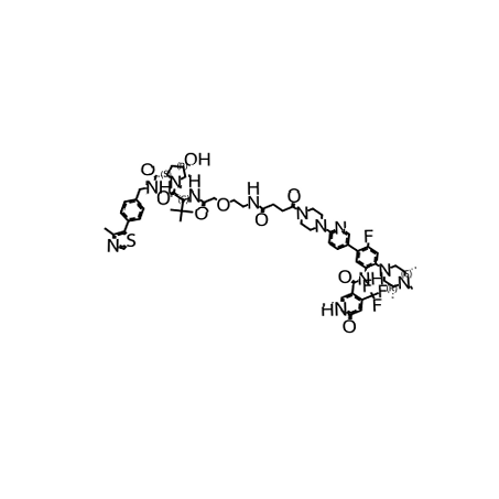 Cc1ncsc1-c1ccc(CNC(=O)[C@@H]2C[C@@H](O)CN2C(=O)[C@@H](NC(=O)COCCNC(=O)CCC(=O)N2CCN(c3ccc(-c4cc(NC(=O)c5c[nH]c(=O)cc5C(F)(F)F)c(N5C[C@@H](C)N(C)[C@@H](C)C5)cc4F)cn3)CC2)C(C)(C)C)cc1